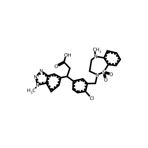 CN1CCN(Cc2cc(C(CC(=O)O)c3ccc4c(c3)nnn4C)ccc2Cl)S(=O)(=O)c2ccccc21